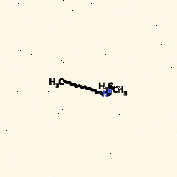 CCCCCCCCCCCCCCCCC[n+]1ccn(C(C)C)c1